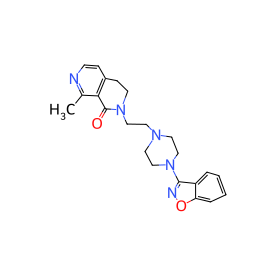 Cc1nccc2c1C(=O)N(CCN1CCN(c3noc4ccccc34)CC1)CC2